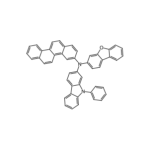 c1ccc(-n2c3ccccc3c3ccc(N(c4ccc5c(c4)oc4ccccc45)c4ccc5ccc6c7ccccc7ccc6c5c4)cc32)cc1